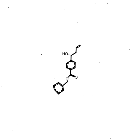 C=CC[C@@H](O)c1ccc(C(=O)OCc2ccccc2)cc1